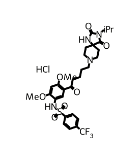 COc1cc(OC)c(C(=O)CCCCN2CCC3(CC2)NC(=O)N(C(C)C)C3=O)cc1NS(=O)(=O)c1ccc(C(F)(F)F)cc1.Cl